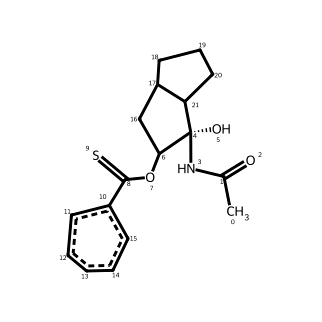 CC(=O)N[C@@]1(O)C(OC(=S)c2ccccc2)CC2CCCC21